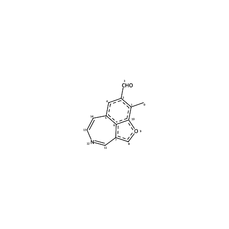 Cc1c(C=O)cc2c3c(coc13)C=NC=C2